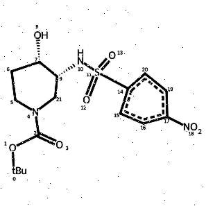 CC(C)(C)OC(=O)N1CC[C@H](O)[C@H](NS(=O)(=O)c2ccc([N+](=O)[O-])cc2)C1